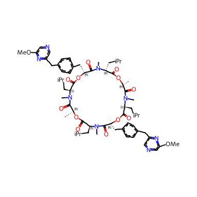 COc1cncc(Cc2ccc(C[C@H]3OC(=O)[C@H](CC(C)C)N(C)C(=O)[C@@H](C)OC(=O)[C@H](CC(C)C)N(C)C(=O)[C@@H](Cc4ccc(Cc5cncc(OC)n5)cc4)OC(=O)[C@H](CC(C)C)N(C)C(=O)[C@@H](C)OC(=O)[C@@H](CC(C)C)N(C)C3=O)cc2)n1